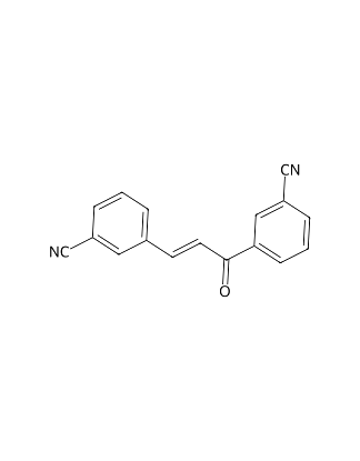 N#Cc1cccc(/C=C/C(=O)c2cccc(C#N)c2)c1